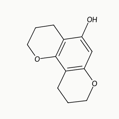 Oc1cc2c(c3c1CCCO3)CCCO2